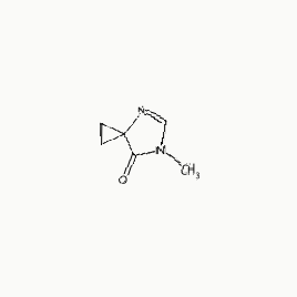 CN1C=NC2(CC2)C1=O